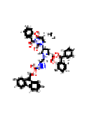 Cc1cn([C@@H]2C[C@H](C(=O)OC(c3ccccc3)c3ccccc3)N(CCNC(=O)OCC3c4ccccc4-c4ccccc43)C2)c(=O)n(C(=O)c2ccccc2)c1=O